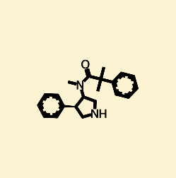 CN(C(=O)C(C)(C)c1ccccc1)C1CNC[C@H]1c1ccccc1